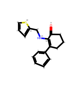 O=C1CCCC(c2ccccc2)=C1NCc1cccs1